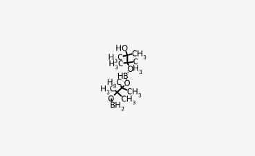 BOC(C)(C)C(C)(C)OBOC(C)(C)C(C)(C)O